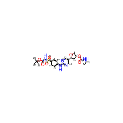 CC(C)NC(=O)O[C@H]1CO[C@H](c2cnc(Nc3ccc(S(=O)(=O)NC(=O)OC(C)(C)C)cc3)nc2)C1